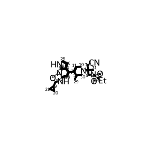 CCS(=O)(=O)N1CC(CC#N)(N2CC=C(c3cc(NC(=O)C4CC4)nc4[nH]ccc34)C(C)C2)C1